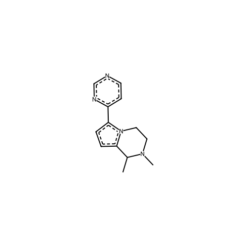 CC1c2ccc(-c3ccncn3)n2CCN1C